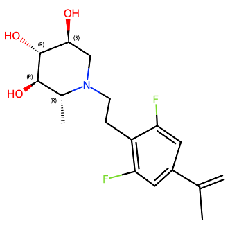 C=C(C)c1cc(F)c(CCN2C[C@H](O)[C@@H](O)[C@H](O)[C@H]2C)c(F)c1